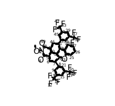 COn1c(=O)c2cc(-c3cc(C(F)(F)F)cc(C(F)(F)F)c3)c3oc4ccccc4c4c(-c5cc(C(F)(F)F)cc(C(F)(F)F)c5)cc(c1=O)c2c34